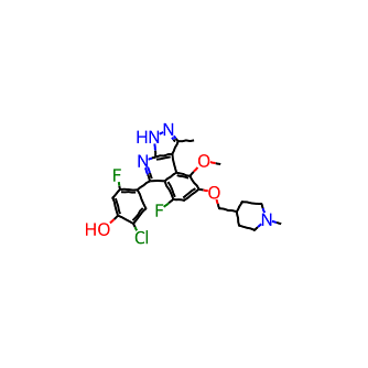 COc1c(OCC2CCN(C)CC2)cc(F)c2c(-c3cc(Cl)c(O)cc3F)nc3[nH]nc(C)c3c12